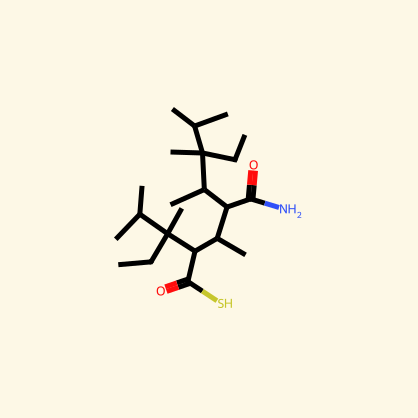 CCC(C)(C(C)C)C(C)C(C(N)=O)C(C)C(C(=O)S)C(C)(CC)C(C)C